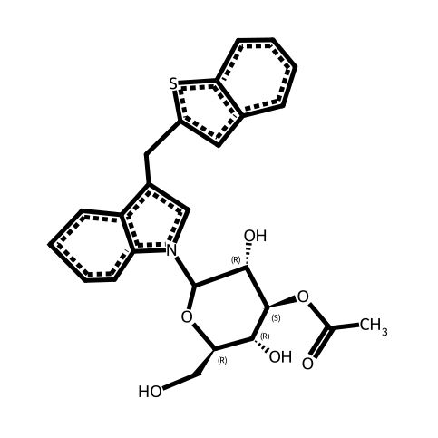 CC(=O)O[C@H]1[C@H](O)[C@@H](CO)OC(n2cc(Cc3cc4ccccc4s3)c3ccccc32)[C@@H]1O